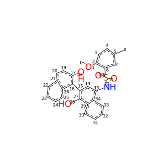 COc1ccc(C)cc1S(=O)(=O)Nc1cc(-c2c(O)ccc3ccccc23)c(O)c2ccccc12